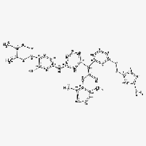 Cc1noc(CCc2cccc(N(C(=O)Oc3c(C)cccc3C)c3ccnc(Nc4ccc(N5CCN(C)C(C)C5)c(F)c4)n3)c2)n1